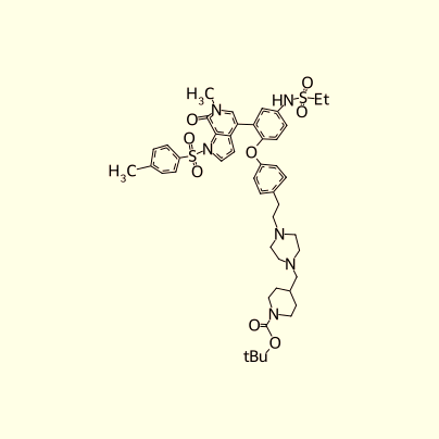 CCS(=O)(=O)Nc1ccc(Oc2ccc(CCN3CCN(CC4CCN(C(=O)OC(C)(C)C)CC4)CC3)cc2)c(-c2cn(C)c(=O)c3c2ccn3S(=O)(=O)c2ccc(C)cc2)c1